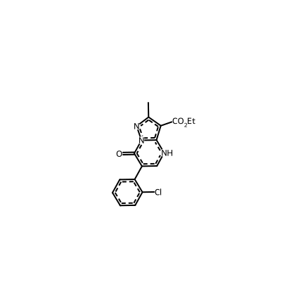 CCOC(=O)c1c(C)nn2c(=O)c(-c3ccccc3Cl)c[nH]c12